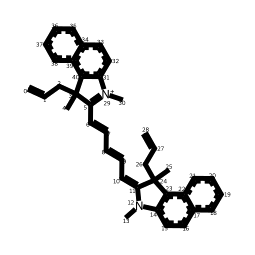 C=CCC1(C)C(/C=C/C=C/C=C2/N(C)c3ccc4ccccc4c3C2(C)CC=C)=[N+](C)c2ccc3ccccc3c21